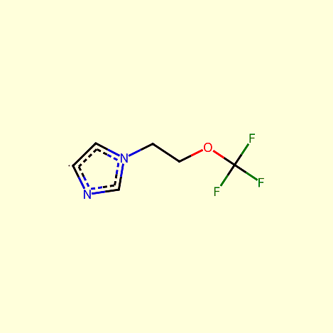 FC(F)(F)OCCn1c[c]nc1